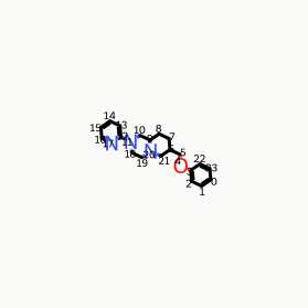 c1ccc(OCC2CCC3CN(c4ccccn4)CCN3C2)cc1